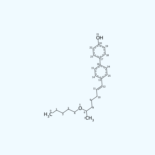 CCCCCOC(C)CCCC=Cc1ccc(-c2ccc(O)cc2)cc1